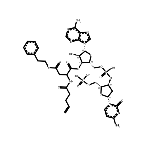 C=CCCC(=O)NC(CC(=O)SCCc1ccccc1)C(=O)O[C@H]1[C@@H](O)[C@H](n2cnc3c(N)ncnc32)O[C@@H]1COP(=O)(O)O[C@H]1C[C@H](n2ccc(N)nc2=O)O[C@@H]1COP(=O)(O)O